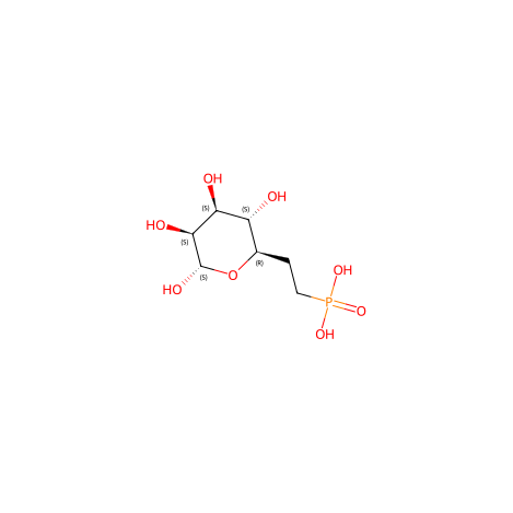 O=P(O)(O)CC[C@H]1O[C@H](O)[C@@H](O)[C@@H](O)[C@@H]1O